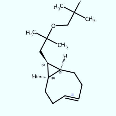 CC(C)(F)COC(C)(C)C[C@@H]1[C@@H]2CC/C=C/CC[C@@H]21